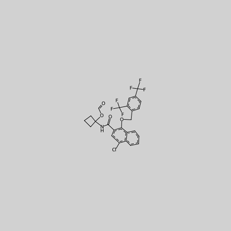 O=COC1(NC(=O)c2cc(Cl)c3ccccc3c2OCc2ccc(C(F)(F)F)cc2C(F)(F)F)CCC1